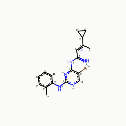 C/C(=C\C(=N)Nc1nc(Nc2ccccc2C)ncc1Br)C1CC1